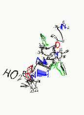 CN(C)CCCOc1cc(-c2nc(C(=O)NC3(OC(=O)O)C4CC5CC(C4)CC3C5)ccc2-c2ccccn2)ccc1Cl.Cl